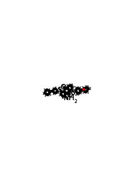 Nc1ccc(Sc2ccc(-c3ccccc3)cc2)c2c1C(=O)c1c(Sc3ccc(-c4ccccc4)cc3)cccc1C2=O